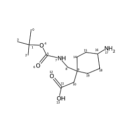 CC(C)(C)OC(=O)NCC1(CC(=O)O)CCC(N)CC1